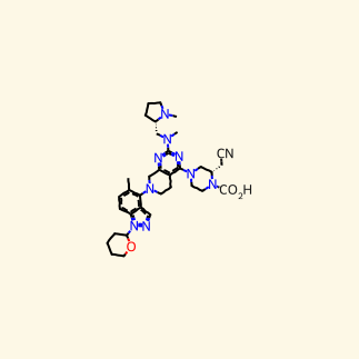 Cc1ccc2c(cnn2C2CCCCO2)c1N1CCc2c(nc(N(C)C[C@@H]3CCCN3C)nc2N2CCN(C(=O)O)[C@@H](CC#N)C2)C1